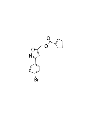 O=C(OCc1cc(-c2ccc(Br)cc2)no1)C1=CC=CC1